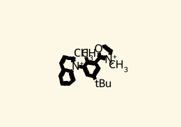 Cc1c(-c2occ[n+]2C)cc(C(C)(C)C)cc1-[n+]1c(C)ccc2ccccc21